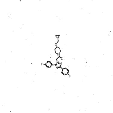 O=C(Cn1nc(-c2ccc(F)cc2)nc1-c1ccc(F)cc1)N1CCC(OCC2CC2)CC1